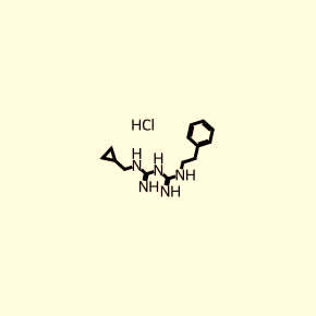 Cl.N=C(NCCc1ccccc1)NC(=N)NCC1CC1